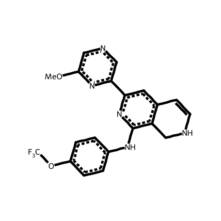 COc1cncc(-c2cc3c(c(Nc4ccc(OC(F)(F)F)cc4)n2)CNC=C3)n1